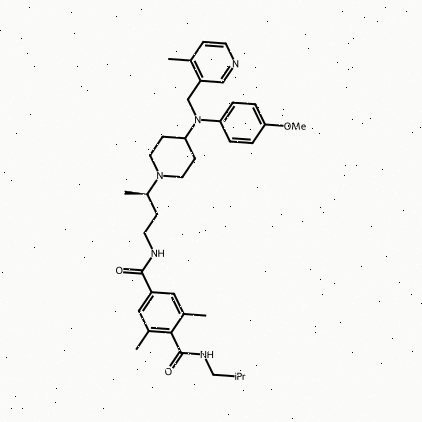 COc1ccc(N(Cc2cnccc2C)C2CCN([C@H](C)CCNC(=O)c3cc(C)c(C(=O)NCC(C)C)c(C)c3)CC2)cc1